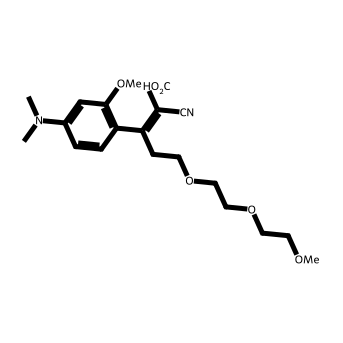 COCCOCCOCCC(=C(C#N)C(=O)O)c1ccc(N(C)C)cc1OC